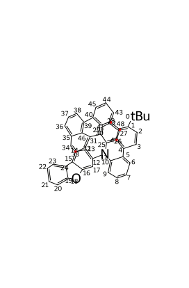 CC(C)(C)c1ccc(-c2ccccc2N(c2ccc3c(c2)oc2ccccc23)c2ccccc2-c2cccc3cccc(-c4ccccc4)c23)cc1